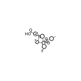 Cc1ccc(S(=O)(=O)n2c(-c3cccc(C45CCC(C(=O)O)(CC4)CC5)c3)c(-c3ccsc3C#N)c3cc(F)ccc32)cc1